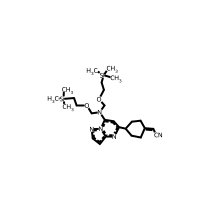 C[Si](C)(C)CCOCN(COCC[Si](C)(C)C)c1cc(C2CCC(=CC#N)CC2)nc2ccnn12